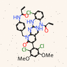 C=CC(=O)Nc1ccc(Cn2c(=O)c(-c3c(Cl)c(OC)cc(OC)c3Cl)cc3cnc(Nc4c(Cl)cccc4NC(=O)C=C)nc32)cc1